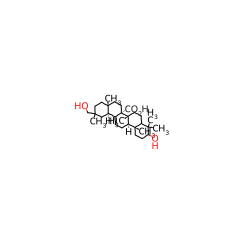 CC1(CO)CC[C@]2(C)CC[C@]3(C(=O)O)C(=CC[C@@H]4[C@@]5(C)CCC(O)C(C)(C)C5CC[C@]43C)[C@H]2C1